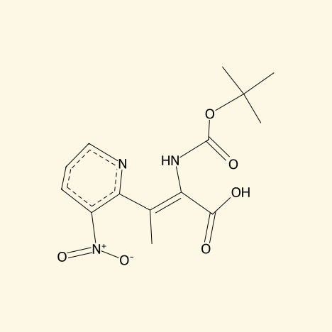 CC(=C(NC(=O)OC(C)(C)C)C(=O)O)c1ncccc1[N+](=O)[O-]